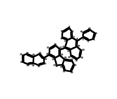 c1ccc(-c2c3ccccc3c(-c3ccc(-c4ccc5ccccc5c4)c4sc5ccccc5c34)c3ccccc23)cc1